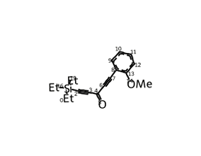 CC[Si](C#CC(=O)C#Cc1ccccc1OC)(CC)CC